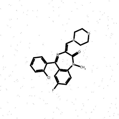 CN1C(=O)C(=CN2CCOCC2)N=C(c2ccccc2Cl)c2cc(F)ccc21